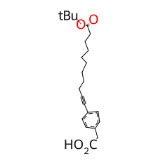 CC(C)(C)OC(=O)CCCCCCCCC#Cc1ccc(CC(=O)O)cc1